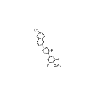 CCc1ccc2cc(-c3ccc(-c4cc(F)c(OC)c(F)c4)c(F)c3)ccc2c1